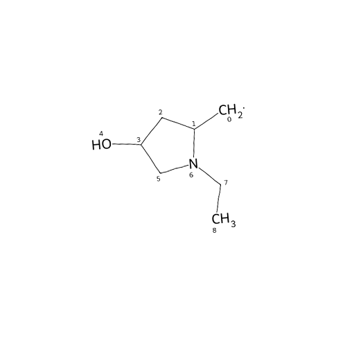 [CH2]C1CC(O)CN1CC